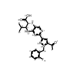 CC(=O)c1cc(-c2ncc(F)c(NC(CC(=O)O)C(C)C)n2)nn1Cc1ccccc1F